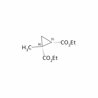 CCOC(=O)[C@H]1C[C@@]1(C)C(=O)OCC